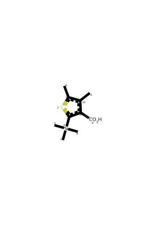 Cc1sc([Si](C)(C)C)c(C(=O)O)c1C